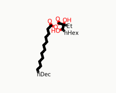 CCCCCCCCCCCCCCCCCCCCCC(=O)OC(=O)C(O)(CC)C(O)CCCCCC